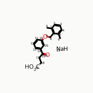 Cc1cccc(C)c1COc1cccc(C(=O)CCC(=O)O)c1.[NaH]